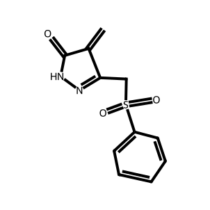 C=C1C(=O)NN=C1CS(=O)(=O)c1ccccc1